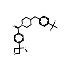 COC1(c2ccc(C(=O)N3CCC(Cc4ccc(C(F)(F)F)cc4)CC3)cc2)COC1